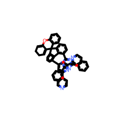 C1=C2Oc3ccccc3C3(C2=CCC1)c1cccc(-c2cc(-c4ccncc4)nc(-c4ccccn4)c2)c1-c1c(-c2nc(-c4ccccc4)nc(-c4ccccc4)n2)cccc13